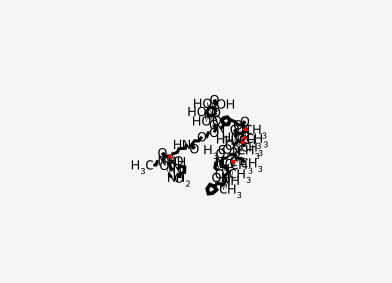 CCCNC(=O)[C@H](CCCCNC(=O)CCOCCOC(=O)Nc1cc(COC(=O)N(C)[C@H](C(=O)N[C@H](C(=O)N(C)[C@@H]([C@@H](C)CC)[C@@H](CC(=O)N2CCC[C@H]2[C@H](OC)[C@@H](C)C(=O)N[C@H](C)[C@@H](O)c2ccccc2)OC)C(C)C)C(C)C)ccc1O[C@@H]1O[C@H](C(=O)O)[C@@H](O)[C@H](O)[C@H]1O)NC(=O)[C@@H](CN)N1C(=O)C=CC1=O